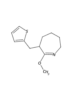 COC1=NCCCCC1Cc1cccs1